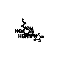 C=CC[C@H]1O[C@@H]2SC(N3CCCC3)=N[C@@H]2[C@@H](O)[C@@H]1O